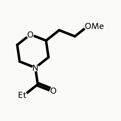 CCC(=O)N1CCOC(CCOC)C1